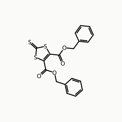 O=C(OCc1ccccc1)c1sc(=S)sc1C(=O)OCc1ccccc1